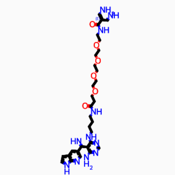 N=C/C(=C\N)C(=O)NCCOCCOCCOCCOCCC(=O)NCCCCNc1ncnc(N)c1C(=N)c1cnc2[nH]ccc2c1